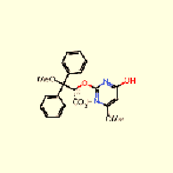 COc1cc(O)nc(O[C@H](C(=O)O)C(OC)(c2ccccc2)c2ccccc2)n1